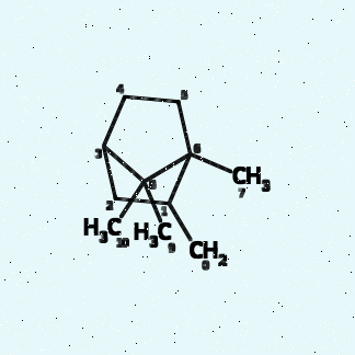 [CH2]C1CC2CCC1(C)C2(C)C